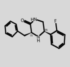 O=C1NC[C@@H](c2ccccc2F)N[C@H]1Cc1ccccc1